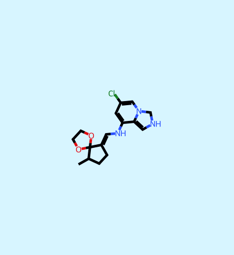 CC1CC/C(=C\NC2=CC(Cl)=CN3CNC=C23)C12OCCO2